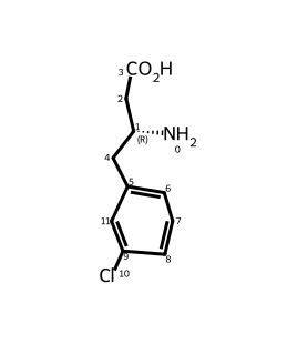 N[C@@H](CC(=O)O)Cc1cccc(Cl)c1